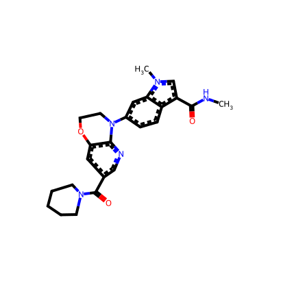 CNC(=O)c1cn(C)c2cc(N3CCOc4cc(C(=O)N5CCCCC5)cnc43)ccc12